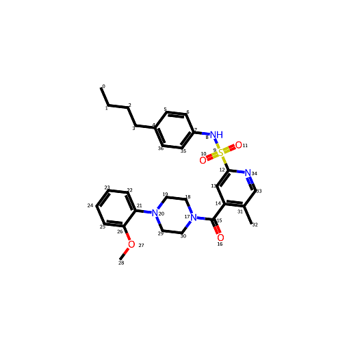 CCCCc1ccc(NS(=O)(=O)c2cc(C(=O)N3CCN(c4ccccc4OC)CC3)c(C)cn2)cc1